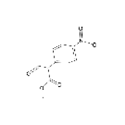 COC(=O)C(C=O)c1ccc([N+](=O)[O-])cc1